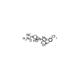 CCN(Cc1ccc(C(F)(F)F)cc1)c1ncnc(NC[C@H]2CCN(C(C#N)C(N)=O)C[C@@H]2O)c1F